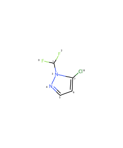 FC(F)n1nccc1Cl